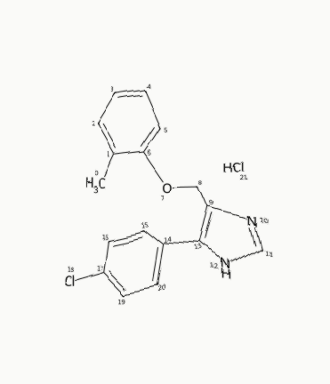 Cc1ccccc1OCc1nc[nH]c1-c1ccc(Cl)cc1.Cl